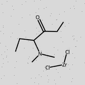 CCC(=O)C(CC)N(C)C.[Cl][Zr][Cl]